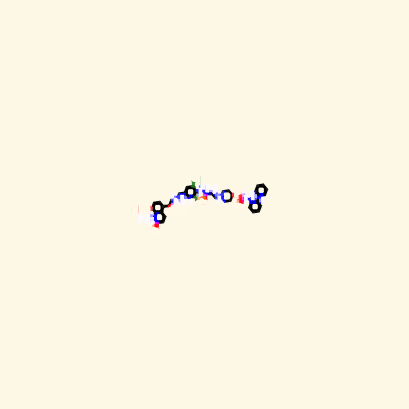 O=C(CCN1CCC(OC(=O)Nc2ccccc2-c2ccccc2)CC1)Nc1c(Cl)cc(CNC[C@H](O)c2ccc(O)c3[nH]c(=O)ccc23)cc1Cl